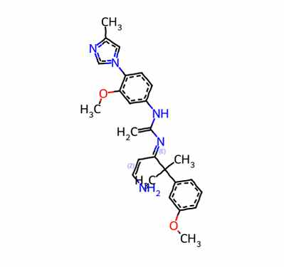 C=C(/N=C(\C=C/N)C(C)(C)c1cccc(OC)c1)Nc1ccc(-n2cnc(C)c2)c(OC)c1